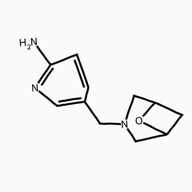 Nc1ccc(CN2CC3CC(C2)O3)cn1